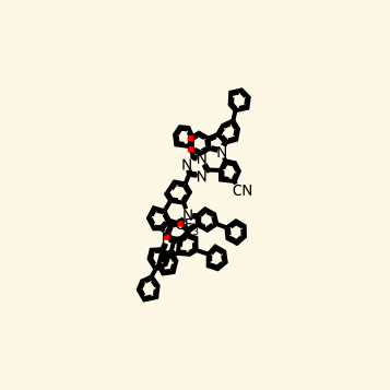 N#Cc1ccc(-n2c3ccccc3c3cc(-c4ccccc4)ccc32)c(-c2nc(-c3ccccc3)nc(-c3ccc(-c4cccc(-n5c6ccc(-c7ccccc7)cc6c6cc(-c7ccccc7)ccc65)c4C(F)(F)F)c(-n4c5ccc(-c6ccccc6)cc5c5cc(-c6ccccc6)ccc54)c3)n2)c1